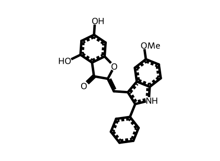 COc1ccc2[nH]c(-c3ccccc3)c(/C=C3\Oc4cc(O)cc(O)c4C3=O)c2c1